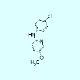 COc1ccc(Nc2ccc(Cl)cc2)nc1